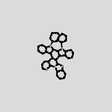 c1ccc(-n2c3ccccc3c3c4c5cccnc5n5c6ccccc6nc5c4c4c5ccccc5n(-c5ccccc5)c4c32)cc1